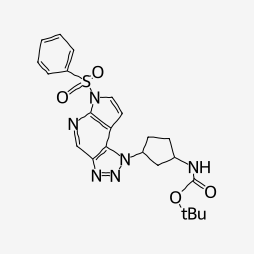 CC(C)(C)OC(=O)NC1CCC(n2nnc3cnc4c(ccn4S(=O)(=O)c4ccccc4)c32)C1